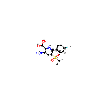 CC(C)S(=O)(=O)c1cc(N)c(C(=O)O)nc1-c1ccc(F)cc1